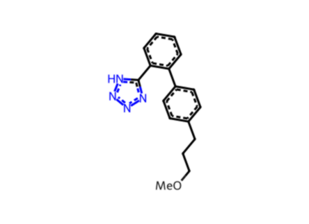 COCCCc1ccc(-c2ccccc2-c2nnn[nH]2)cc1